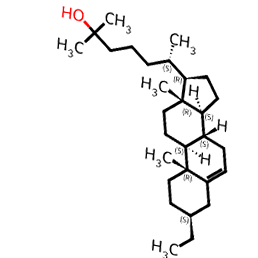 CC[C@H]1CC[C@@]2(C)C(=CC[C@H]3[C@@H]4CC[C@H]([C@@H](C)CCCC(C)(C)O)[C@@]4(C)CC[C@@H]32)C1